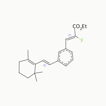 CCOC(=O)/C(F)=C/c1cccc(/C=C/C2=C(C)CCCC2(C)C)c1